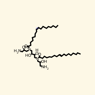 CCCCCCCCC=CCCCCCCCC(=O)N(CC(O)CN)CC(O)C(O)CN(CC(O)CN)C(=O)CCCCCCC/C=C\CCCCCCCC